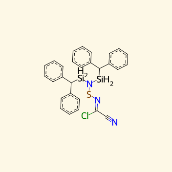 N#CC(Cl)=NSN([SiH2]C(c1ccccc1)c1ccccc1)[SiH2]C(c1ccccc1)c1ccccc1